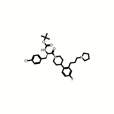 CC(C)(C)OC(=O)N[C@H](Cc1ccc(Cl)cc1)C(=O)N1CCC(c2ccc(F)cc2CCCN2CCCC2)CC1